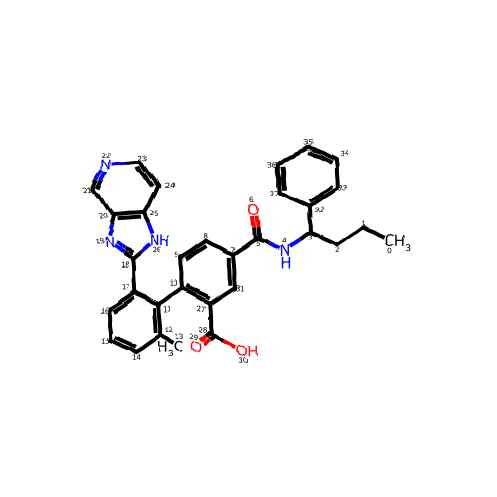 CCCC(NC(=O)c1ccc(-c2c(C)cccc2-c2nc3cnccc3[nH]2)c(C(=O)O)c1)c1ccccc1